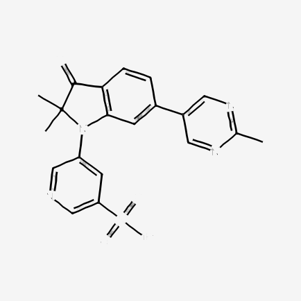 Cc1ncc(-c2ccc3c(c2)N(c2cncc(S(=O)(=O)C(C)C)c2)C(C)(C)C3=O)cn1